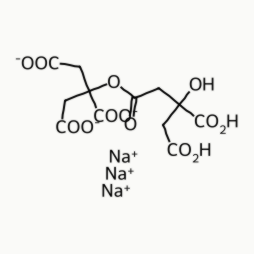 O=C([O-])CC(CC(=O)[O-])(OC(=O)CC(O)(CC(=O)O)C(=O)O)C(=O)[O-].[Na+].[Na+].[Na+]